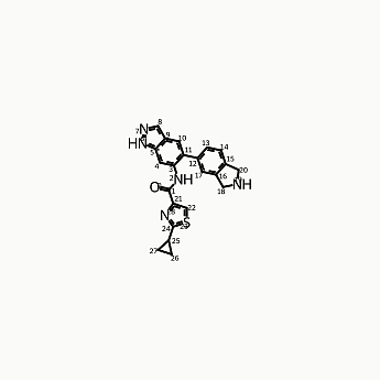 O=C(Nc1cc2[nH]ncc2cc1-c1ccc2c(c1)CNC2)c1csc(C2CC2)n1